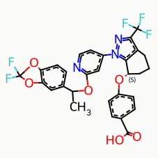 CC(Oc1cc(-n2nc(C(F)(F)F)c3c2[C@@H](Oc2ccc(C(=O)O)cc2)CCC3)ccn1)c1ccc2c(c1)OC(F)(F)O2